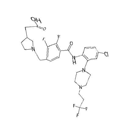 O=C(O)CC1CCN(Cc2ccc(C(=O)Nc3ccc(Cl)cc3N3CCN(CCC(F)(F)F)CC3)c(F)c2F)C1